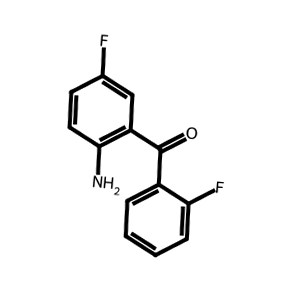 Nc1ccc(F)cc1C(=O)c1ccccc1F